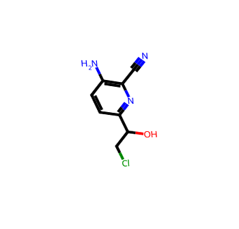 N#Cc1nc(C(O)CCl)ccc1N